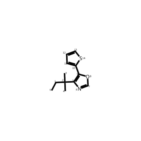 CCC(C)(C)c1ncoc1-c1cccs1